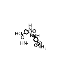 CNC.NS(=O)(=O)c1ccc(NN=C2C(=O)Nc3ccc(C(=O)O)cc32)cc1